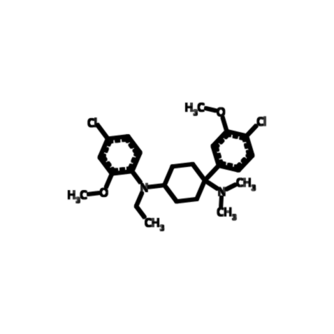 CCN(c1ccc(Cl)cc1OC)C1CCC(c2ccc(Cl)c(OC)c2)(N(C)C)CC1